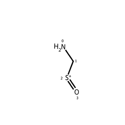 NC[S+]=O